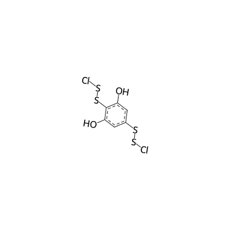 Oc1cc(SSCl)cc(O)c1SSCl